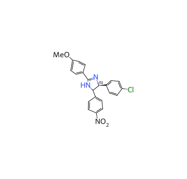 COc1ccc(C2=N[C@@H](c3ccc(Cl)cc3)C(c3ccc([N+](=O)[O-])cc3)N2)cc1